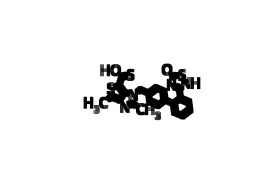 Cc1sc(C(O)=S)c2c1nc(C)n2Cc1ccc(-c2ccccc2-c2nc(=O)s[nH]2)cc1